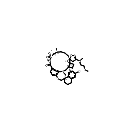 COCCN(C)C1=NO[C@]2(CCC[C@H](C)[C@@H](C)S(=O)(=O)NC(=O)c3ccc4c(c3)N(C[C@@H]3CC[C@H]32)C[C@@]2(CCCc3cc(Cl)ccc32)CO4)C1